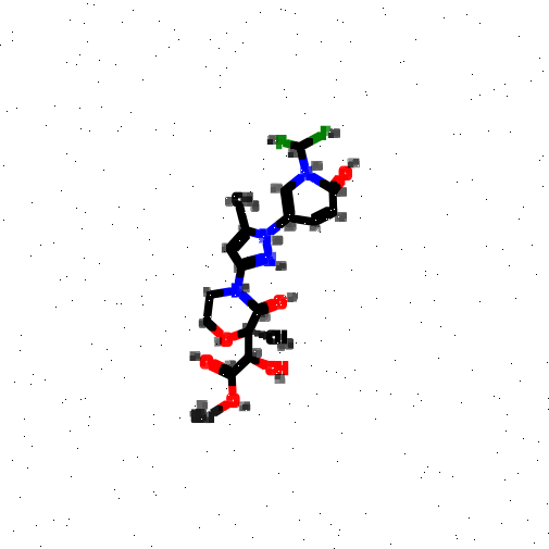 Cc1cc(N2CCO[C@](C)([C@@H](O)C(=O)OC(C)(C)C)C2=O)nn1-c1ccc(=O)n(C(F)F)c1